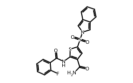 NC(=O)c1cc(S(=O)(=O)n2cc3ccccc3c2)sc1NC(=O)c1ccccc1F